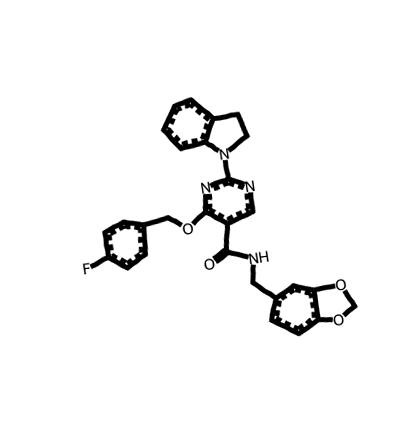 O=C(NCc1ccc2c(c1)OCO2)c1cnc(N2CCc3ccccc32)nc1OCc1ccc(F)cc1